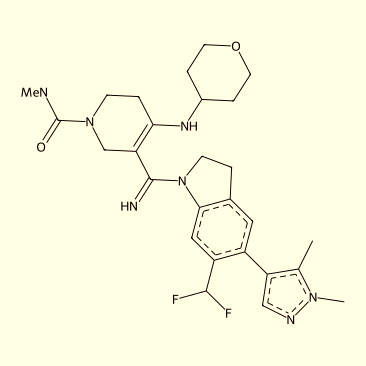 CNC(=O)N1CCC(NC2CCOCC2)=C(C(=N)N2CCc3cc(-c4cnn(C)c4C)c(C(F)F)cc32)C1